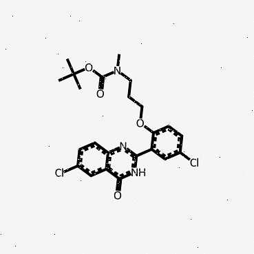 CN(CCCOc1ccc(Cl)cc1-c1nc2ccc(Cl)cc2c(=O)[nH]1)C(=O)OC(C)(C)C